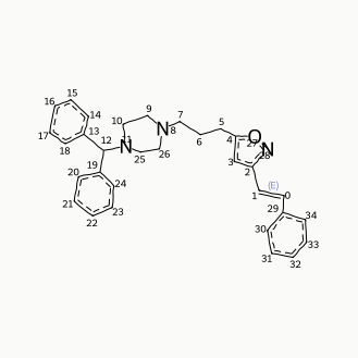 C(=C\c1cc(CCCN2CCN(C(c3ccccc3)c3ccccc3)CC2)on1)/c1ccccc1